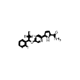 NC(=O)C1CCC(c2cnc(OC(c3ccccc3F)C(F)(F)F)cn2)N1